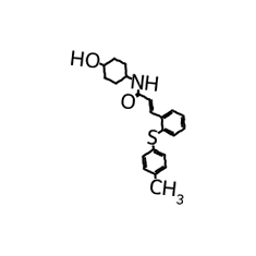 Cc1ccc(Sc2ccccc2C=CC(=O)NC2CCC(O)CC2)cc1